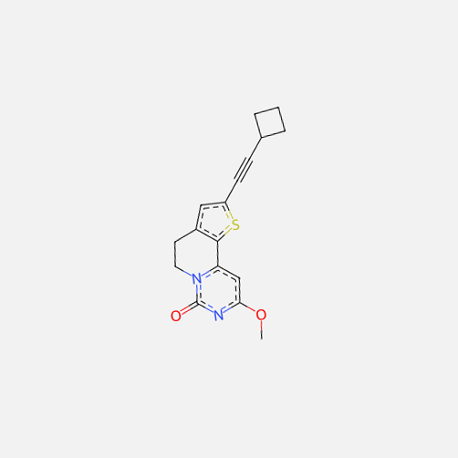 COc1cc2n(c(=O)n1)CCc1cc(C#CC3CCC3)sc1-2